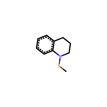 CSN1CCCc2ccccc21